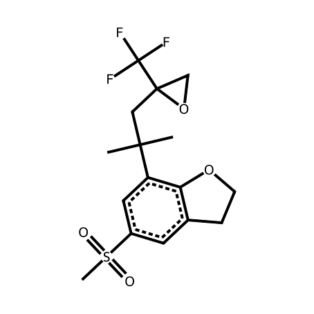 CC(C)(CC1(C(F)(F)F)CO1)c1cc(S(C)(=O)=O)cc2c1OCC2